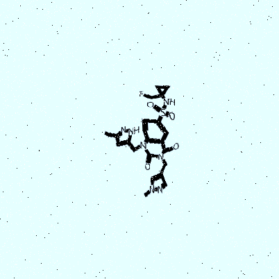 Cc1cc(Cn2c(=O)n(Cc3cnn(C)c3)c(=O)c3cc(S(=O)(=O)NC4(CF)CC4)ccc32)[nH]n1